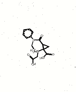 CCN(C(=O)C1CC1(NCC(=O)O)C(=O)O)c1ccccc1